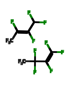 FC(=C(F)C(F)(F)F)C(F)F.FC(F)=C(F)C(F)(F)C(F)(F)F